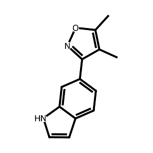 Cc1onc(-c2ccc3cc[nH]c3c2)c1C